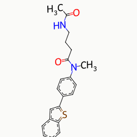 CC(=O)NCCCC(=O)N(C)c1ccc(-c2cc3ccccc3s2)cc1